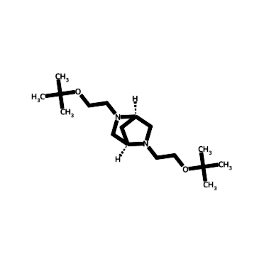 CC(C)(C)OCCN1C[C@H]2C[C@@H]1CN2CCOC(C)(C)C